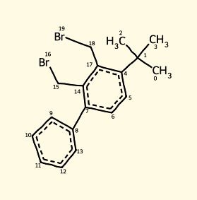 CC(C)(C)c1ccc(-c2ccccc2)c(CBr)c1CBr